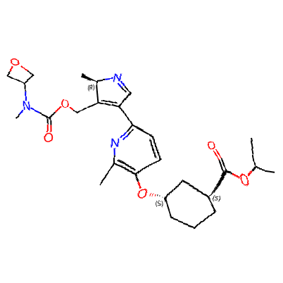 Cc1nc(C2=C(COC(=O)N(C)C3COC3)[C@@H](C)N=C2)ccc1O[C@H]1CCC[C@H](C(=O)OC(C)C)C1